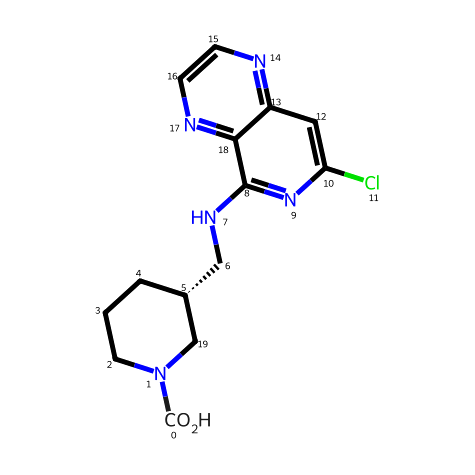 O=C(O)N1CCC[C@H](CNc2nc(Cl)cc3nccnc23)C1